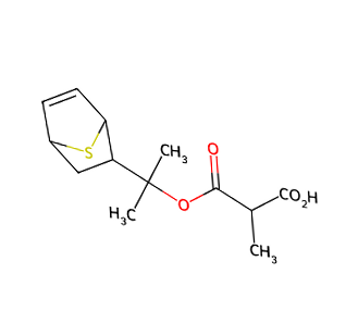 CC(C(=O)O)C(=O)OC(C)(C)C1CC2C=CC1S2